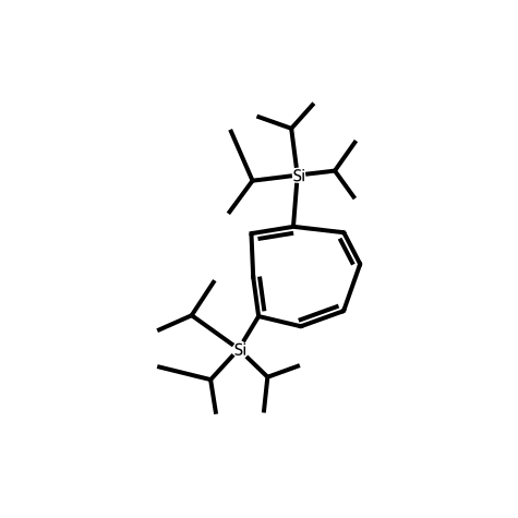 CC(C)[Si](C1=CC=C([Si](C(C)C)(C(C)C)C(C)C)C=CC=C1)(C(C)C)C(C)C